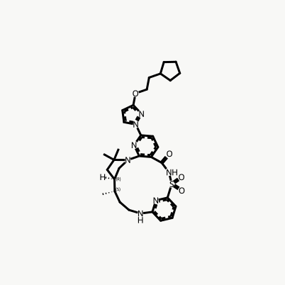 C[C@H]1CCNc2cccc(n2)S(=O)(=O)NC(=O)c2ccc(-n3ccc(OCCC4CCCC4)n3)nc2N2C[C@@H]1CC2(C)C